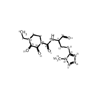 CCN1CCN(C(=O)NC([C]=O)CSc2nnnn2C)C(=O)C1=O